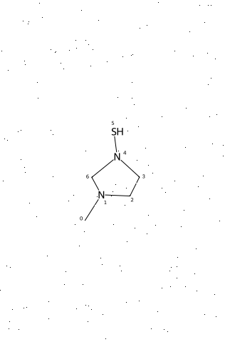 CN1CCN(S)C1